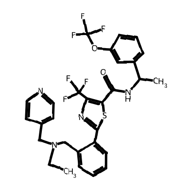 CCN(Cc1ccncc1)Cc1ccccc1-c1nc(C(F)(F)F)c(C(=O)NC(C)c2cccc(OC(F)(F)F)c2)s1